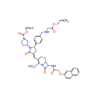 C=CCOC(=O)CNCc1ccc([C@H]2C/C(=C\C3=C(C(=O)O)N4C(=O)C(NC(=O)CSc5ccc6ccccc6c5)C4SC3)C(=O)N2[C@H]2CCN(C(=O)OCCCCC)C2)cc1